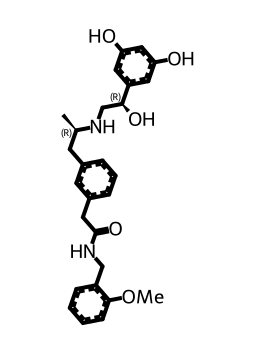 COc1ccccc1CNC(=O)Cc1cccc(C[C@@H](C)NC[C@H](O)c2cc(O)cc(O)c2)c1